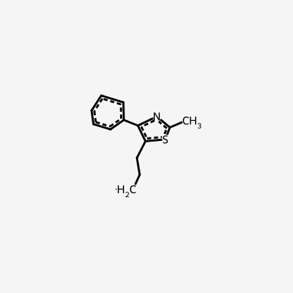 [CH2]CCc1sc(C)nc1-c1ccccc1